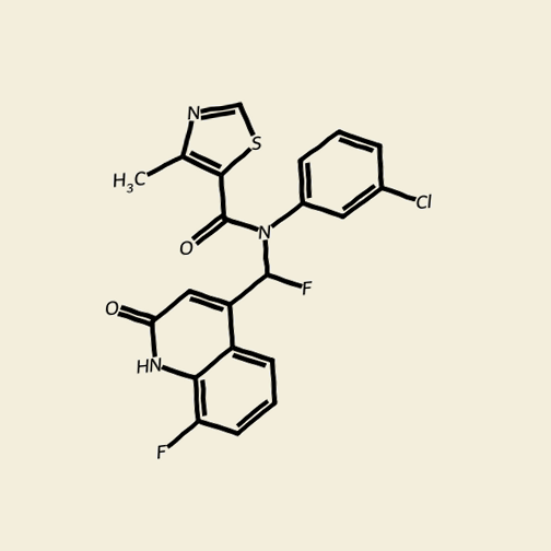 Cc1ncsc1C(=O)N(c1cccc(Cl)c1)C(F)c1cc(=O)[nH]c2c(F)cccc12